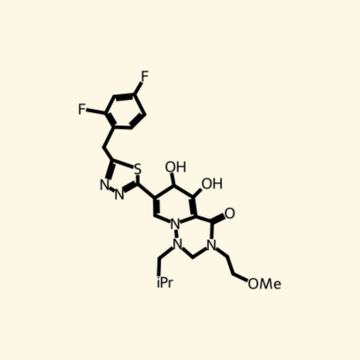 COCCN1CN(CC(C)C)N2C=C(c3nnc(Cc4ccc(F)cc4F)s3)C(O)C(O)=C2C1=O